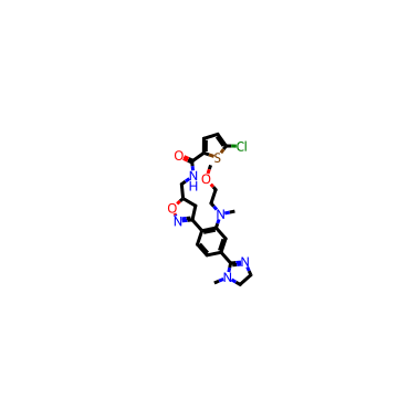 COCCN(C)c1cc(C2=NCCN2C)ccc1C1=NOC(CNC(=O)c2ccc(Cl)s2)C1